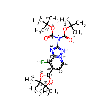 CC(C)(C)OC(=O)N(C(=O)OC(C)(C)C)c1nc2c(F)c(B3OC(C)(C)C(C)(C)O3)ccn2n1